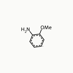 COc1c[c]ccc1N